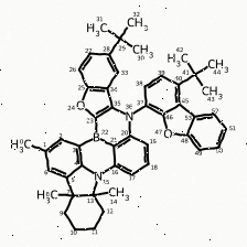 Cc1cc2c3c(c1)C1(C)CCCCC1(C)N3c1cccc3c1B2c1oc2ccc(C(C)(C)C)cc2c1N3c1ccc(C(C)(C)C)c2c1oc1ccccc12